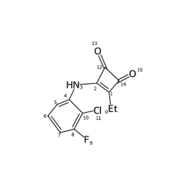 CCc1c(Nc2cccc(F)c2Cl)c(=O)c1=O